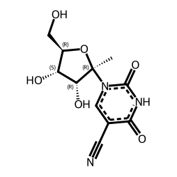 C[C@@]1(n2cc(C#N)c(=O)[nH]c2=O)O[C@H](CO)[C@@H](O)[C@H]1O